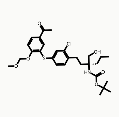 CCC[C@@](CO)(CCc1ccc(Sc2cc(C(C)=O)ccc2OCOC)cc1Cl)NC(=O)OC(C)(C)C